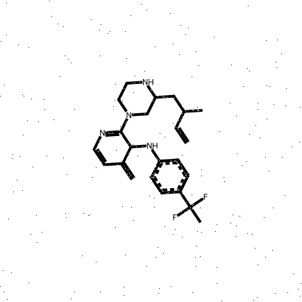 C=CC(C)CC1CN(C2=NC=CC(=C)C2Nc2ccc(C(C)(F)F)cc2)CCN1